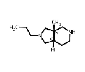 CCCN1C[C@H]2CCNC[C@@]2(C)C1